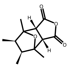 C[C@@H]1[C@H](C)C2(C)OC1(C)[C@@H]1C(=O)OC(=O)[C@@H]12